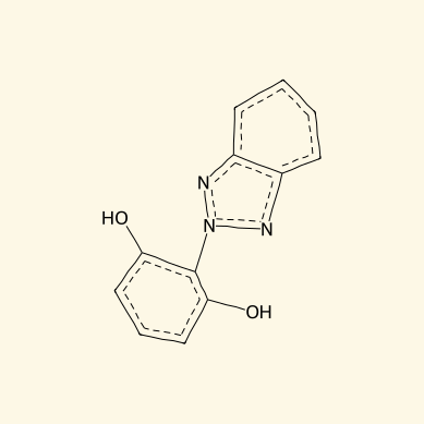 Oc1cccc(O)c1-n1nc2ccccc2n1